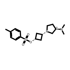 Cc1ccc(S(=O)(=O)O[C@H]2C[C@@H](N3CC[C@@H](N(C)C)C3)C2)cc1